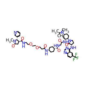 CC(C)N(C)[C@@H]1CC[C@H](N2CC[C@H](Nc3ncnc4ccc(C(F)(F)F)cc34)C2=O)[C@H](NC(=O)CNC(=O)[C@H]2CC[C@@H](NC(=O)CCOCCOCCNC(=O)[C@H]3CC(=O)N(C)[C@@H]3c3cccnc3)CC2)C1